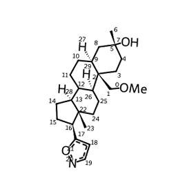 COC[C@]12CC[C@@](C)(O)C[C@@H]1CCC1[C@@H]3CC[C@H](c4ccno4)[C@@]3(C)CC[C@@H]12